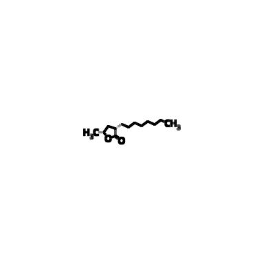 CCCCCCCC[C@H]1C[C@@H](C)OC1=O